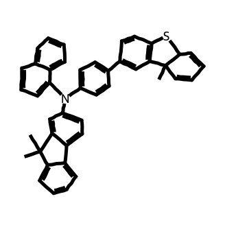 CC1(C)c2ccccc2-c2ccc(N(c3ccc(-c4ccc5c(c4)C4(C)C=CC=CC4S5)cc3)c3cccc4ccccc34)cc21